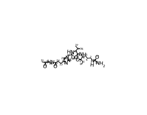 CCC(=O)[C@H](CCCNC(N)=O)NC(=O)C(NC(=O)Cn1cc(CCC(=O)NCCC(C)=O)nn1)C(C)C